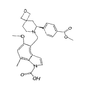 COC(=O)c1ccc([C@@H]2CC3(CCN2Cc2c(OC)cc(C)c4c2ccn4C(=O)O)COC3)cc1